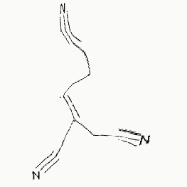 N#CC[C]=C(C#N)C#N